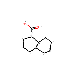 O=C(O)[C]1CCCC2CCCCC12